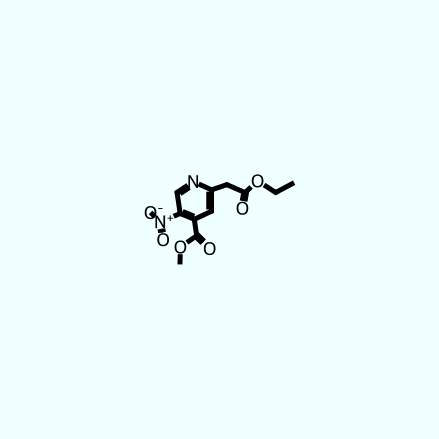 CCOC(=O)Cc1cc(C(=O)OC)c([N+](=O)[O-])cn1